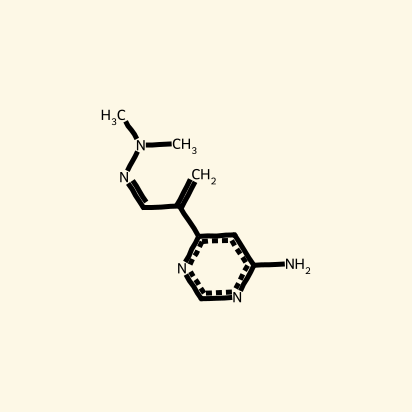 C=C(/C=N\N(C)C)c1cc(N)ncn1